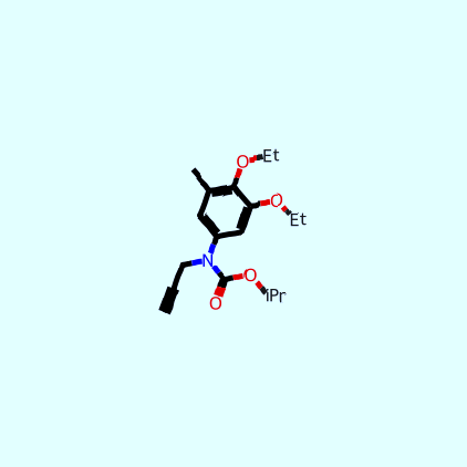 C#CCN(C(=O)OC(C)C)c1cc(C)c(OCC)c(OCC)c1